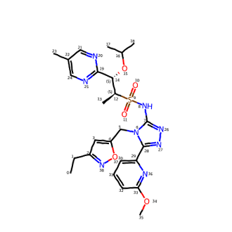 CCc1cc(Cn2c(NS(=O)(=O)[C@@H](C)[C@@H](OC(C)C)c3ncc(C)cn3)nnc2-c2cccc(OC)n2)on1